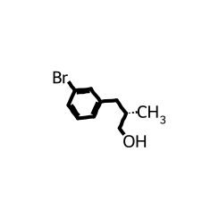 C[C@H](CO)Cc1cccc(Br)c1